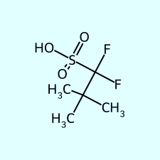 CC(C)(C)C(F)(F)S(=O)(=O)O